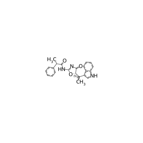 CC(C(=O)NC1=NC(=O)[C@H]([C@H](C)c2c[nH]c3ccccc23)O1)c1ccccc1